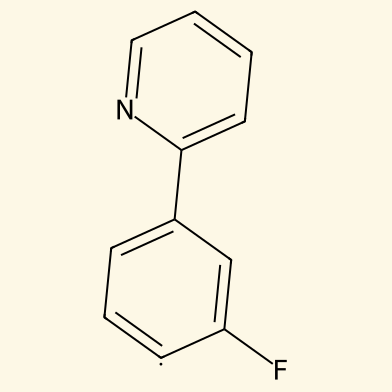 Fc1[c]ccc(-c2ccccn2)c1